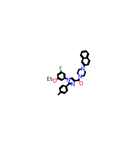 CCOc1cc(F)cc(-n2cc(C(=O)N3CCN(c4ccc5ccccc5c4)CC3)nc2-c2ccc(C)cc2)c1